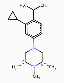 CC(C)c1ccc(N2C[C@@H](C)N(C)[C@@H](C)C2)cc1C1CC1